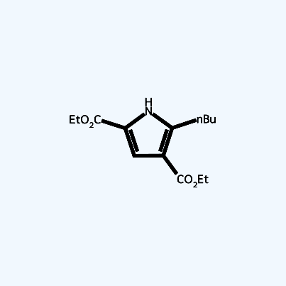 CCCCc1[nH]c(C(=O)OCC)cc1C(=O)OCC